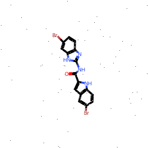 O=C(Nc1nc2ccc(Br)cc2[nH]1)c1cc2cc(Br)ccc2[nH]1